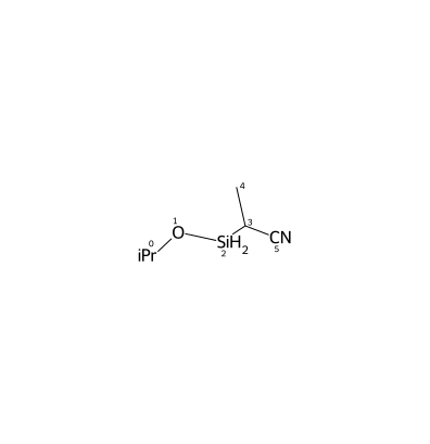 CC(C)O[SiH2]C(C)C#N